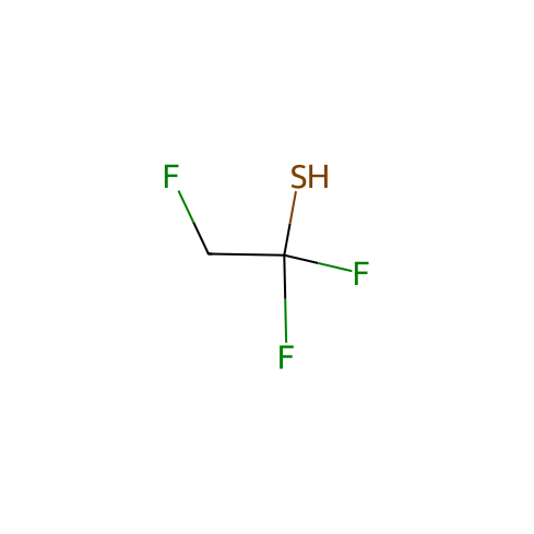 FCC(F)(F)S